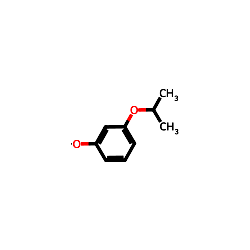 CC(C)Oc1cccc([O])c1